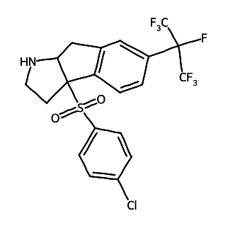 O=S(=O)(c1ccc(Cl)cc1)C12CCNC1Cc1cc(C(F)(C(F)(F)F)C(F)(F)F)ccc12